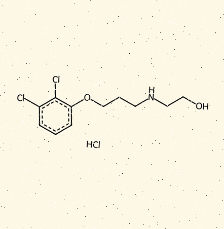 Cl.OCCNCCCOc1cccc(Cl)c1Cl